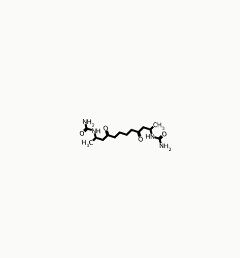 CC(CC(=O)CCCCC(=O)CC(C)NC(N)=O)NC(N)=O